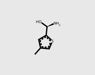 Cc1csc([C@H](N)O)c1